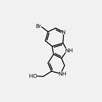 OCC1=Cc2c([nH]c3ncc(Br)cc23)CN1